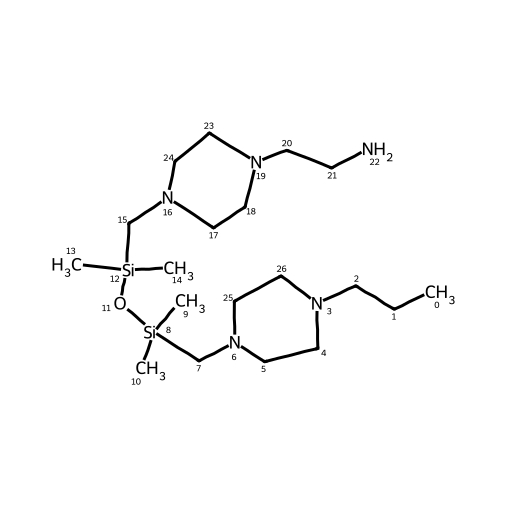 CCCN1CCN(C[Si](C)(C)O[Si](C)(C)CN2CCN(CCN)CC2)CC1